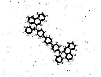 C1=C(c2ccc(C3=CC=C(N(c4ccccc4)c4cc5ccccc5c5ccccc45)CC3)cc2)CCC(N(c2ccccc2)c2cc3ccccc3c3ccccc23)=C1